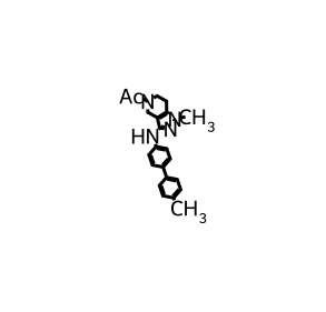 CC(=O)N1CCc2c(c(Nc3ccc(-c4ccc(C)cc4)cc3)nn2C)C1